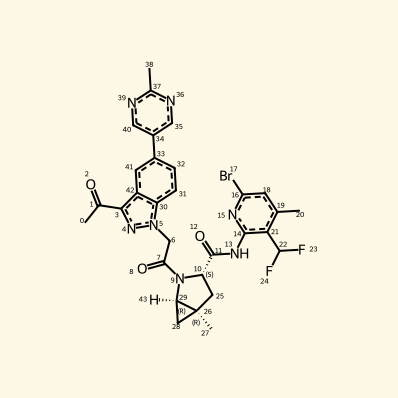 CC(=O)c1nn(CC(=O)N2[C@H](C(=O)Nc3nc(Br)cc(C)c3C(F)F)C[C@@]3(C)C[C@@H]23)c2ccc(-c3cnc(C)nc3)cc12